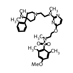 COc1cc(C)c(S(=O)(=O)N(C)CCOc2ccnc(N(C)CCN3CCC(c4ccccc4)(N(C)C)CC3)n2)c(C)c1